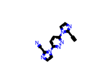 C#Cc1nccn1-c1ccc(-n2ccnc2C#N)nn1